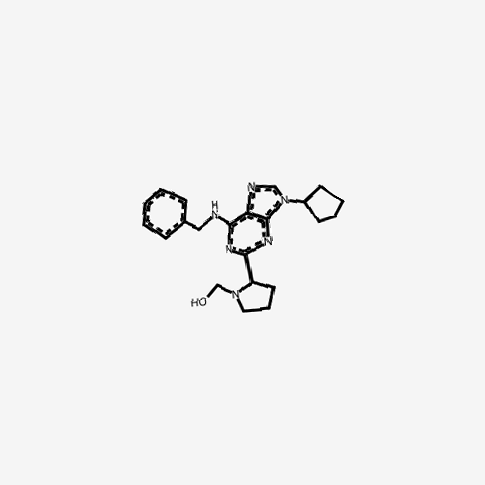 OCN1CCCC1c1nc(NCc2ccccc2)c2ncn(C3CCCC3)c2n1